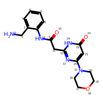 NCc1ccccc1NC(=O)Cc1nc(N2CCOCC2)cc(=O)[nH]1